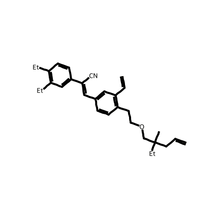 C=CCC(C)(CC)COCCc1ccc(/C=C(\C#N)c2ccc(CC)c(CC)c2)cc1C=C